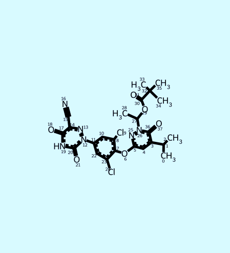 CC(C)c1cc(Oc2c(Cl)cc(-n3nc(C#N)c(=O)[nH]c3=O)cc2Cl)nn(C(C)OC(=O)C(C)(C)C)c1=O